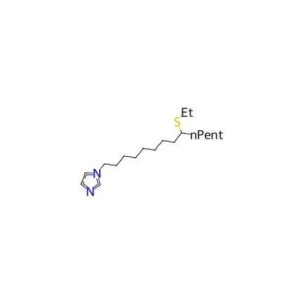 CCCCCC(CCCCCCCCn1ccnc1)SCC